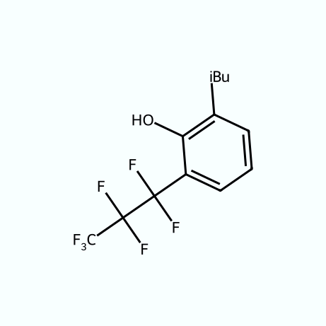 CCC(C)c1cccc(C(F)(F)C(F)(F)C(F)(F)F)c1O